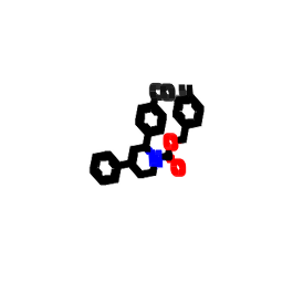 O=C(O)c1ccc(C2C=C(c3ccccc3)CCN2C(=O)OCc2ccccc2)cc1